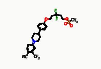 CS(=O)(=O)OCCC(F)(F)CCOc1ccc(C2CCN(c3ccc(C#N)c(C(F)(F)F)c3)CC2)cc1